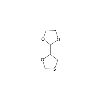 C1COC(C2CSCO2)O1